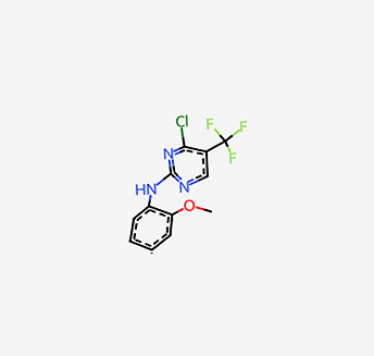 COc1c[c]ccc1Nc1ncc(C(F)(F)F)c(Cl)n1